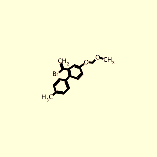 C=C(Br)c1cc(OCOC)ccc1-c1ccc(C)cc1